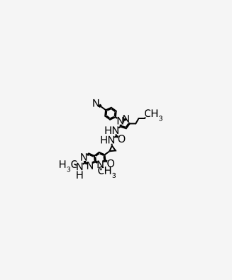 CCCCc1cc(NC(=O)NC2CC2c2cc3cnc(NC)nc3n(C)c2=O)n(-c2ccc(C#N)cc2)n1